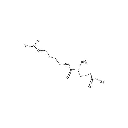 NC(CCC(=O)O)C(=O)NCCCCO[N+](=O)[O-]